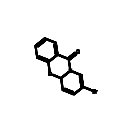 O=C1c2ccccc2OC2C=CC(Br)=CN12